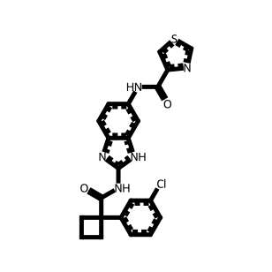 O=C(Nc1ccc2nc(NC(=O)C3(c4cccc(Cl)c4)CCC3)[nH]c2c1)c1cscn1